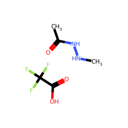 CNNC(C)=O.O=C(O)C(F)(F)F